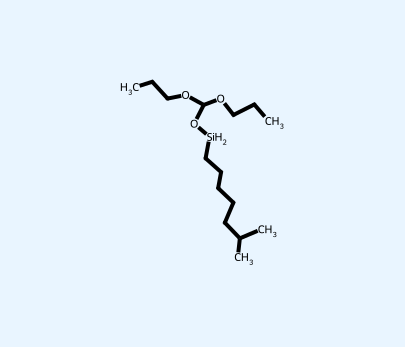 CCCOC(OCCC)O[SiH2]CCCCCC(C)C